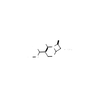 CCCCCNC(OC(C)=O)C1=C(C(=O)O)N2C(=O)[C@H](OC)[C@H]2SC1